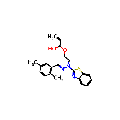 C=CC(O)OCCN(/N=C/c1cc(C)ccc1C)c1nc2ccccc2s1